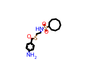 Nc1ccc(C(=O)SCCNS(=O)(=O)C2CCCCCCCC2)cc1